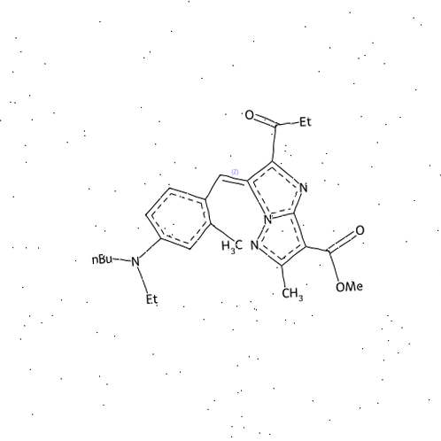 CCCCN(CC)c1ccc(/C=c2/c(C(=O)CC)nc3c(C(=O)OC)c(C)nn23)c(C)c1